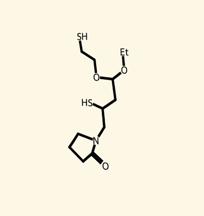 CCOC(CC(S)CN1CCCC1=O)OCCS